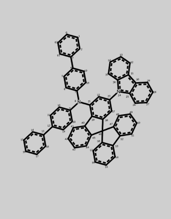 c1ccc(-c2ccc(N(c3ccc(-c4ccccc4)cc3)c3cc(-n4c5ccccc5c5ccccc54)cc4c3-c3ccccc3C43c4ccccc4-c4ccccc43)cc2)cc1